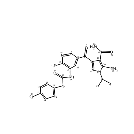 CC(C)n1nc(C(=O)c2cnc(F)c(NC(=O)Cc3ccc(Cl)cc3)c2)c(C(N)=O)c1N